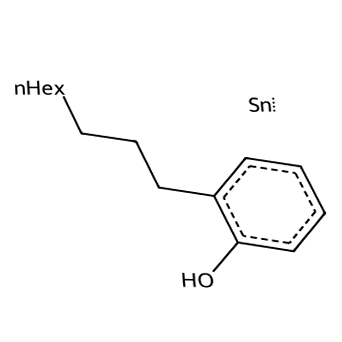 CCCCCCCCCc1ccccc1O.[Sn]